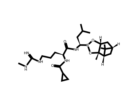 CNC(=N)NCCC[C@H](NC(=O)C1CC1)C(=O)N[C@@H](CC(C)C)B1O[C@@H]2C[C@@H]3C[C@@H](C3(C)C)[C@]2(C)O1